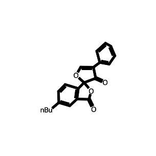 CCCCc1ccc2c(c1)C(=O)OC21OC=C(c2ccccc2)C1=O